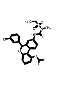 CCS(=O)(=O)N(C)C(=O)Nc1ccc2c(c1)C(c1cccc(Cl)c1)Oc1cccc(OC(F)F)c1-2